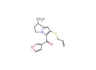 C=CCSc1cc2n(c1C(=O)c1ccoc1)CCC2C(=O)O